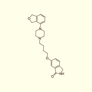 O=C1NCc2ccc(OCCCCN3CCN(c4cccc5c4COC5)CC3)cc21